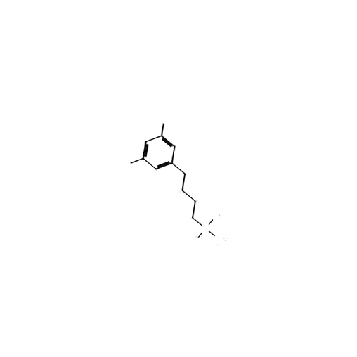 CO[Si](O)(O)CCCCc1cc(F)cc(F)c1